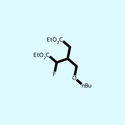 CCCCOCC(CC(=O)OCC)C(F)C(=O)OCC